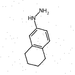 NNc1ccc2c(c1)CCCC2